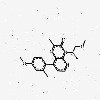 COC[C@@H](C)n1c(=O)c(C)nc2c(-c3ccc(OC)cc3C)ccnc21